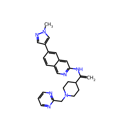 C=C(Nc1cc2cc(-c3cnn(C)c3)ccc2cn1)C1CCN(Cc2ncccn2)CC1